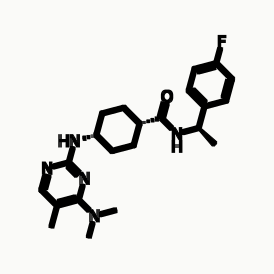 Cc1cnc(N[C@H]2CC[C@@H](C(=O)N[C@H](C)c3ccc(F)cc3)CC2)nc1N(C)C